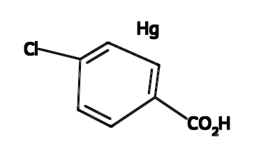 O=C(O)c1ccc(Cl)cc1.[Hg]